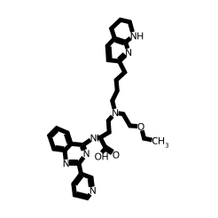 CCOCCN(CCCCc1ccc2c(n1)NCCC2)CCC(Nc1nc(-c2cccnc2)nc2ccccc12)C(=O)O